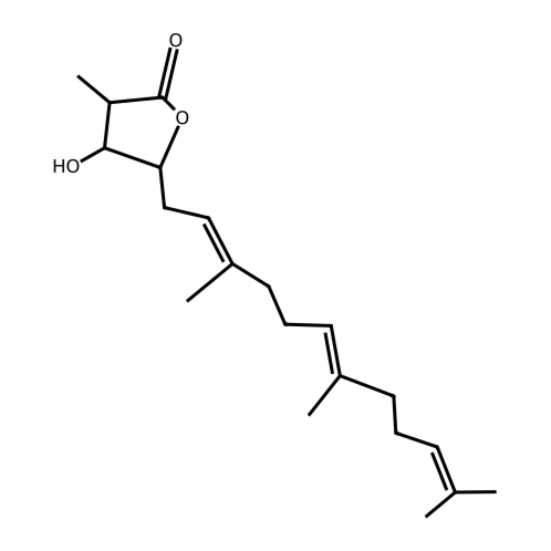 CC(C)=CCC/C(C)=C/CC/C(C)=C/CC1OC(=O)C(C)C1O